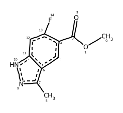 COC(=O)c1cc2c(C)n[nH]c2cc1F